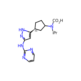 CC(C)N(C(=O)O)C1CC[C@H](c2cc(Nc3ncccn3)n[nH]2)C1